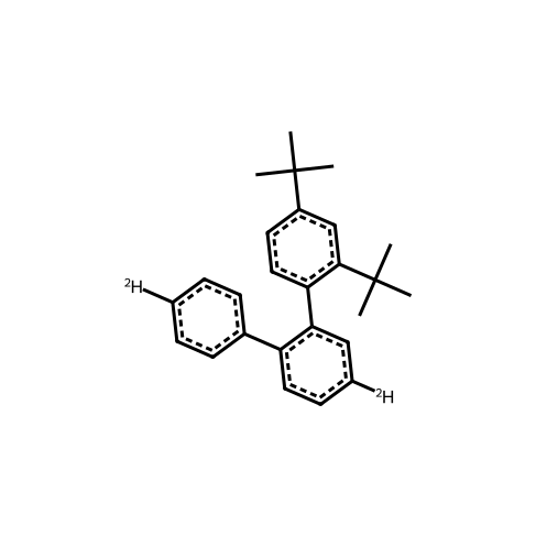 [2H]c1ccc(-c2ccc([2H])cc2-c2ccc(C(C)(C)C)cc2C(C)(C)C)cc1